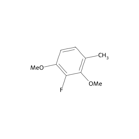 COc1ccc(C)c(OC)c1F